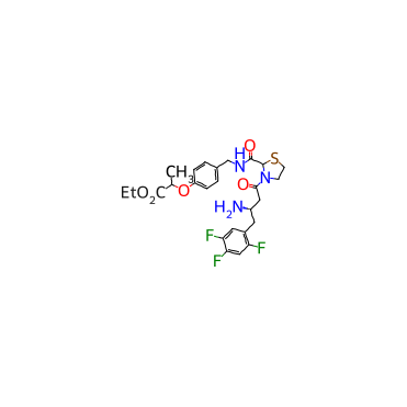 CCOC(=O)C(C)Oc1ccc(CNC(=O)C2SCCN2C(=O)C[C@H](N)Cc2cc(F)c(F)cc2F)cc1